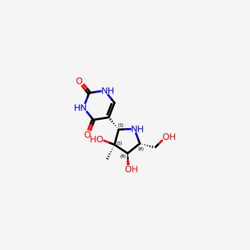 C[C@@]1(O)[C@H](O)[C@@H](CO)N[C@H]1c1c[nH]c(=O)[nH]c1=O